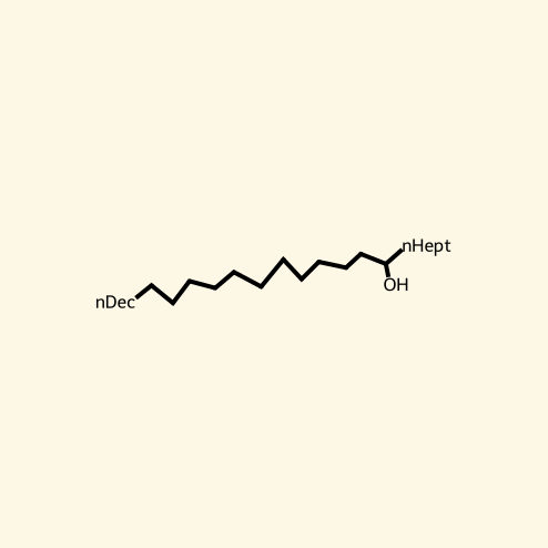 CCCCCCCCCCCCCCCCCCCCCC(O)CCCCCCC